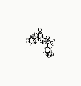 CC(C)(C)[C@@H](NC(=O)c1cc(=O)[nH]c(-c2ncccn2)n1)c1ccc2ooc2c1